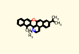 Cc1c2c(cc3ccccc13)Oc1cc3cc(C(C)C)ccc3c3cc[n+](C)c-2c13